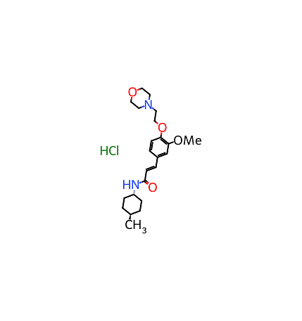 COc1cc(C=CC(=O)N[C@H]2CC[C@H](C)CC2)ccc1OCCN1CCOCC1.Cl